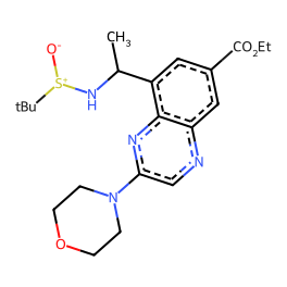 CCOC(=O)c1cc(C(C)N[S+]([O-])C(C)(C)C)c2nc(N3CCOCC3)cnc2c1